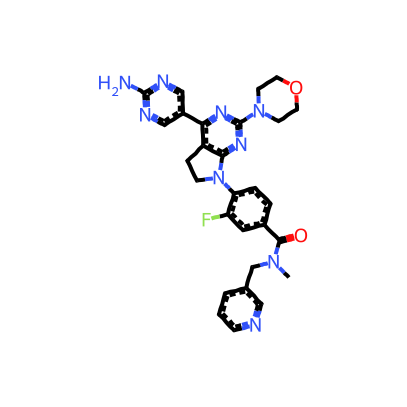 CN(Cc1cccnc1)C(=O)c1ccc(N2CCc3c(-c4cnc(N)nc4)nc(N4CCOCC4)nc32)c(F)c1